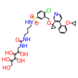 O=C(NCCCCNS(=O)(=O)c1ccc(Cl)c(COC2(c3cnccc3-c3ccccc3OC3CC3)CC2)c1)NC[C@H](O)[C@@H](O)[C@H](O)[C@H](O)CO